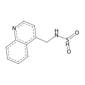 O=[SH](=O)NCc1ccnc2ccccc12